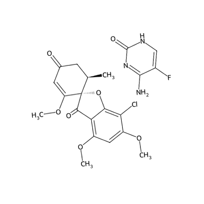 COC1=CC(=O)C[C@@H](C)[C@]12Oc1c(Cl)c(OC)cc(OC)c1C2=O.Nc1nc(=O)[nH]cc1F